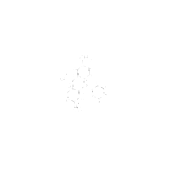 Cc1ccc2c(-c3ccccc3)c3cc(C)ccc3c(Br)c2c1